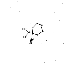 N#CC1(C(O)O)CCOCC1